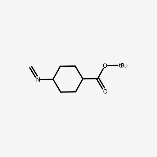 C=NC1CCC(C(=O)OC(C)(C)C)CC1